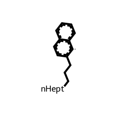 CCCCCCCCCCc1[c]c2ccccc2cc1